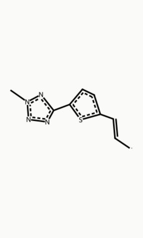 [CH2]C=Cc1ccc(-c2nnn(C)n2)s1